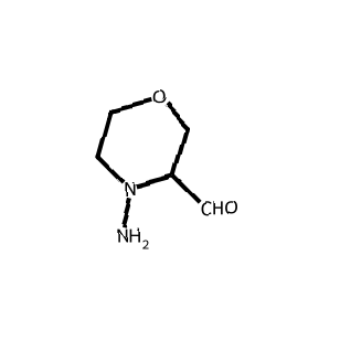 NN1CCOCC1C=O